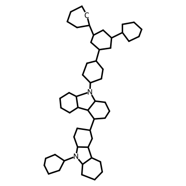 C1CCC(C2CC(C3CCCCC3)CC(C3CCC(N4C5CCCCC5C5C(C6CCC7C(C6)C6CCCCC6N7C6CCCCC6)CCCC54)CC3)C2)CC1